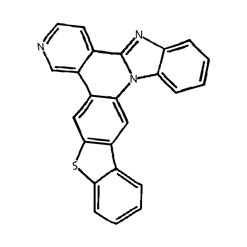 c1ccc2c(c1)nc1c3ccncc3c3cc4sc5ccccc5c4cc3n21